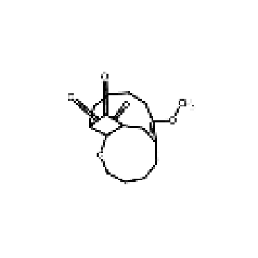 CO/C1=C2\CCCCOC3C(CCCC1)C(=O)C(=O)C(=O)C3C2